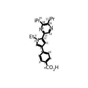 CCn1cc(-c2ccc(C(=O)O)cc2)cc1-c1cnc(C(C)C)c(C(C)C)n1